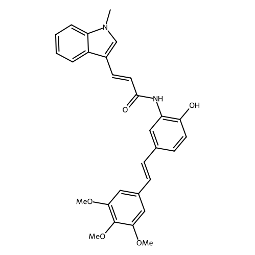 COc1cc(/C=C/c2ccc(O)c(NC(=O)/C=C/c3cn(C)c4ccccc34)c2)cc(OC)c1OC